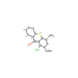 COc1cc([N+](=O)[O-])c2sc3ccccc3c(=O)c2c1Cl